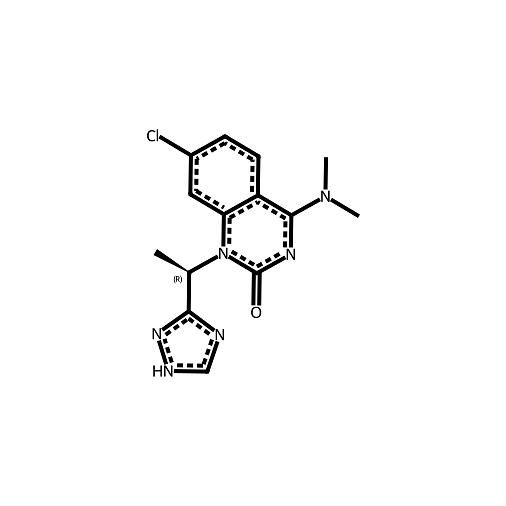 C[C@H](c1nc[nH]n1)n1c(=O)nc(N(C)C)c2ccc(Cl)cc21